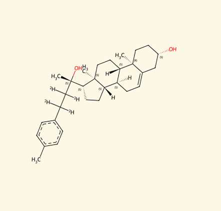 [2H]C([2H])(c1ccc(C)cc1)C([2H])([2H])[C@](C)(O)[C@H]1CC[C@H]2[C@@H]3CC=C4C[C@@H](O)CC[C@]4(C)[C@H]3CC[C@@]21C